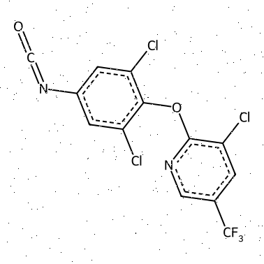 O=C=Nc1cc(Cl)c(Oc2ncc(C(F)(F)F)cc2Cl)c(Cl)c1